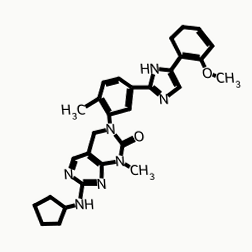 COC1=C(c2cnc(-c3ccc(C)c(N4Cc5cnc(NC6CCCC6)nc5N(C)C4=O)c3)[nH]2)CCC=C1